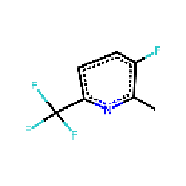 Cc1nc(C(F)(F)F)ccc1F